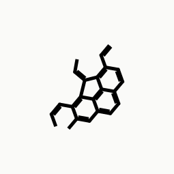 C=Cc1ccc2ccc3cc(C)c(/C=C\C)c4c3c2c1/C4=C\C